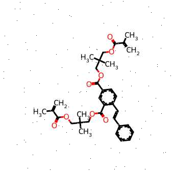 C=C(C)C(=O)OCC(C)(C)COC(=O)c1ccc(/C=C/c2ccccc2)c(C(=O)OCC(C)(C)COC(=O)C(=C)C)c1